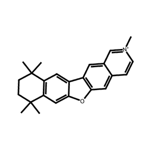 C[n+]1ccc2cc3oc4cc5c(cc4c3cc2c1)C(C)(C)CCC5(C)C